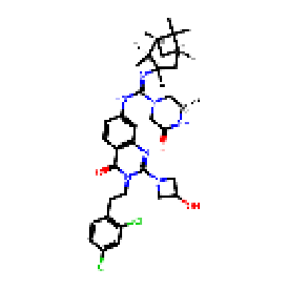 C[C@@H]1[C@@H](/N=C(/Nc2ccc3c(=O)n(CCc4ccc(Cl)cc4Cl)c(N4CC(O)C4)nc3c2)N2CC(=O)N[C@@H](C)C2)C[C@@H]2C[C@H]1C2(C)C